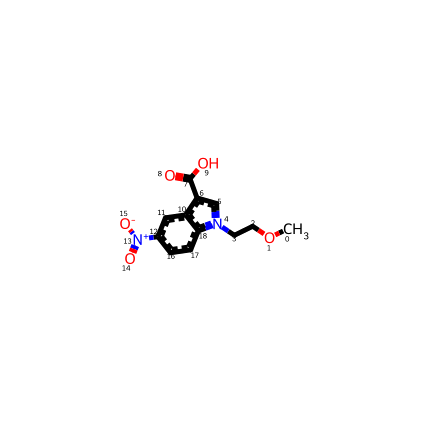 COCCn1cc(C(=O)O)c2cc([N+](=O)[O-])ccc21